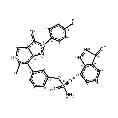 Cc1[nH]cc2c(=O)n(-c3ccc(Cl)cc3)nc-2c1-c1cccc(CS(N)(=O)=O)c1.O=C1N=Nc2ccncc21